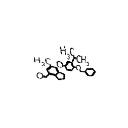 Cc1cc(C=O)c2c(c1Oc1ccc(OCc3ccccc3)c(C(C)C)c1)CCC2